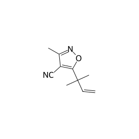 C=CC(C)(C)c1onc(C)c1C#N